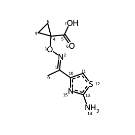 C/C(=N\OC1(C(=O)O)CC1)c1csc(N)n1